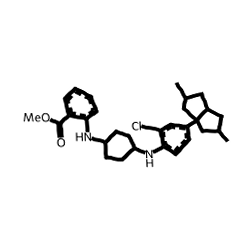 COC(=O)c1ccccc1NC1CCC(Nc2ccc(C34CC(C)CC3CC(C)C4)cc2Cl)CC1